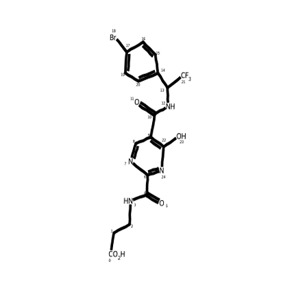 O=C(O)CCNC(=O)c1ncc(C(=O)NC(c2ccc(Br)cc2)C(F)(F)F)c(O)n1